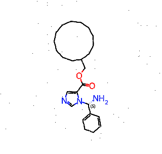 N[C@H](C1=CCCC=C1)n1cncc1C(=O)OCC1CCCCCCCCCCCC1